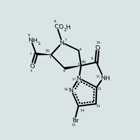 NC(=O)[C@@H]1C[C@@]2(CN1C(=O)O)C(=O)Nc1cc(Br)nn12